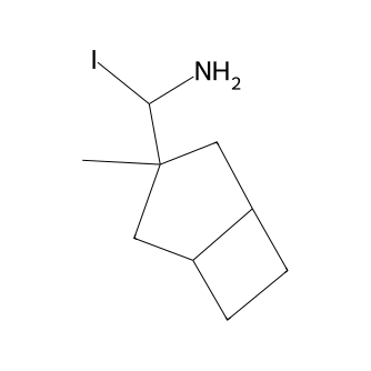 CC1(C(N)I)CC2CCC2C1